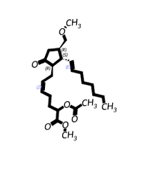 CCCCCC/C=C/[C@H]1[C@H](COC)CC(=O)[C@@H]1C/C=C\CCC(OC(C)=O)C(=O)OC